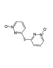 [O-][n+]1cccc(Sc2ccc[n+]([O-])n2)n1